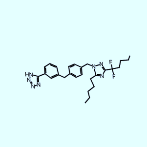 CCCCCc1nc(C(F)(F)CCCC)nn1Cc1ccc(Cc2cccc(-c3nnn[nH]3)c2)cc1